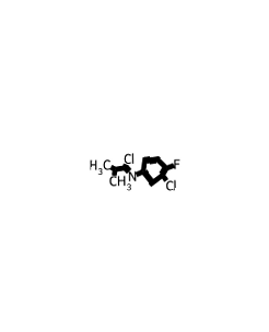 CC(C)C(Cl)=Nc1ccc(F)c(Cl)c1